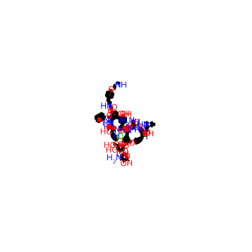 CNCCOc1ccc(CCNC(=O)Oc2cc(O)c3c(c2)[C@@H](C(=O)NC2C4CC5CC(C4)CC2C5)NC(=O)[C@H]2NC(=O)[C@H](NC(=O)[C@@H]4NC(=O)[C@H](CC(N)=O)NC(=O)[C@H](NC(=O)[C@@H](CC(C)C)NC)[C@H](O)c5ccc(c(C)c5)Oc5cc4cc(c5O[C@@H]4O[C@H](CO)[C@@H](O)[C@H](O)[C@H]4O[C@H]4C[C@](C)(N)[C@H](O)[C@H](C)O4)Oc4ccc(cc4Cl)[C@H]2O)c2ccc(O)c-3c2)cc1